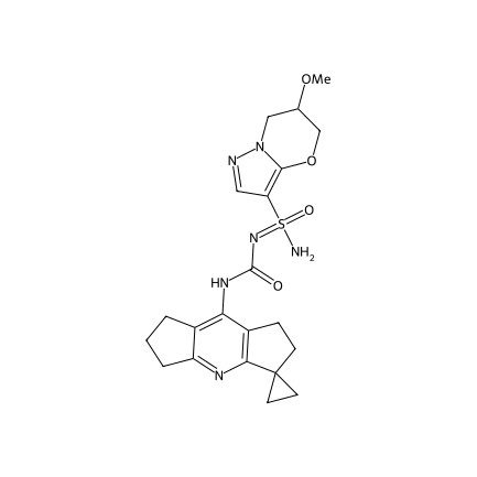 COC1COc2c(S(N)(=O)=NC(=O)Nc3c4c(nc5c3CCC53CC3)CCC4)cnn2C1